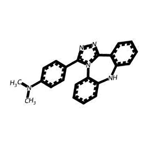 CN(C)c1ccc(-c2nnc3n2-c2ccccc2Nc2ccccc2-3)cc1